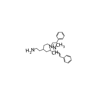 CC1CC(CCN)CC[N+]1(CCc1ccccc1)N(C)CCCc1ccccc1